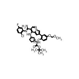 COCOc1ccc(C)c(-c2cc3c(N[C@@H]4CC[C@H](NC(=O)OC(C)(C)C)C4)c(C(N)=Nc4cc(F)ccc4Cl)cnn3c2)c1